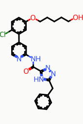 O=C(Nc1cc(-c2cc(OCCCCCO)ccc2Cl)ccn1)c1nnc(Cc2ccccc2)[nH]1